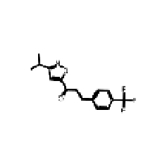 CC(C)c1cc(C(=O)CCc2ccc(C(F)(F)F)cc2)on1